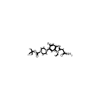 CCn1c(CC(N)=O)nc2cc(F)c(N3CCN(C(=O)OC(C)(C)C)CC3)cc21